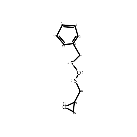 c1ccc(CSOSCC2CO2)cc1